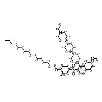 CCCCCCCCCCCCCCCCOc1ccc(S(=O)(=O)c2cnc3ccc(OC)cc3c2N2CCC(N3CCN(C4CCN(CC)CC4)CC3)CC2)cc1F